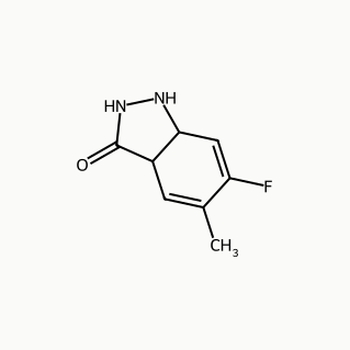 CC1=CC2C(=O)NNC2C=C1F